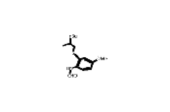 CCCCC(C)CSc1cc(OC)ccc1NC=O